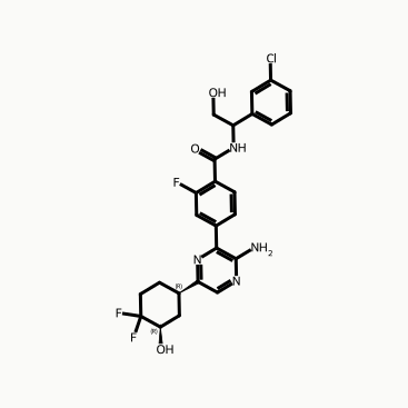 Nc1ncc([C@@H]2CCC(F)(F)[C@H](O)C2)nc1-c1ccc(C(=O)NC(CO)c2cccc(Cl)c2)c(F)c1